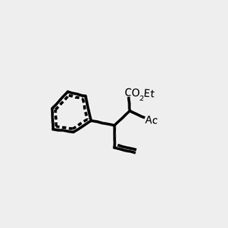 C=CC(c1ccccc1)C(C(C)=O)C(=O)OCC